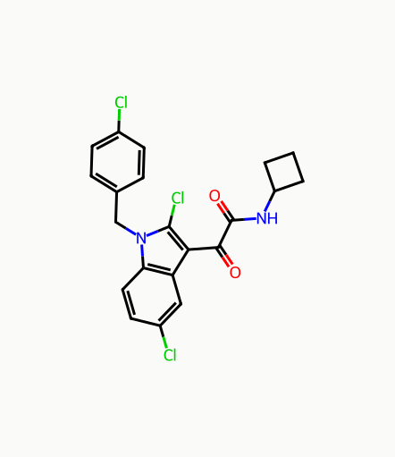 O=C(NC1CCC1)C(=O)c1c(Cl)n(Cc2ccc(Cl)cc2)c2ccc(Cl)cc12